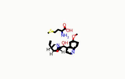 C=C[C@H]1C[N@]2CC[C@H]1C[C@H]2[C@H](O)c1ccnc2ccc(OC)cc12.CSCCC(N)C(=O)O